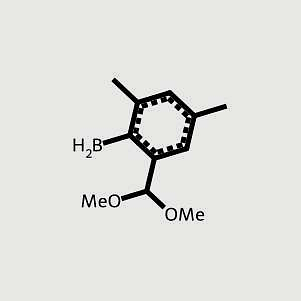 Bc1c(C)cc(C)cc1C(OC)OC